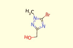 Cn1nc(CO)nc1Br